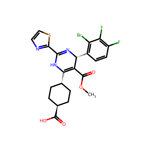 COC(=O)C1=C([C@H]2CC[C@H](C(=O)O)CC2)NC(c2nccs2)=N[C@@H]1c1ccc(F)c(F)c1Br